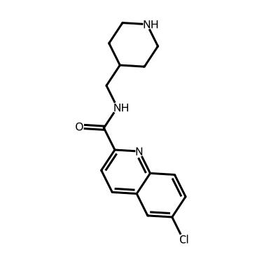 O=C(NCC1CCNCC1)c1ccc2cc(Cl)ccc2n1